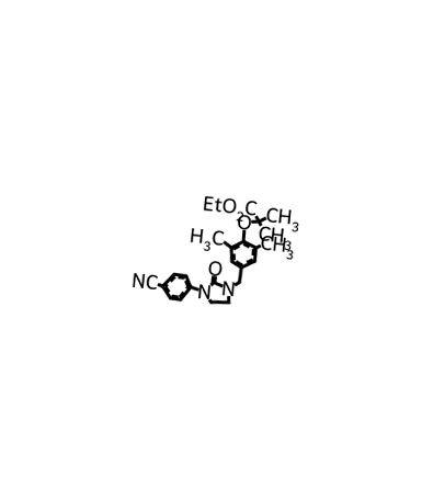 CCOC(=O)C(C)(C)Oc1c(C)cc(CN2CCN(c3ccc(C#N)cc3)C2=O)cc1C